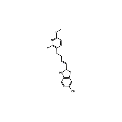 CNc1ccc(CC/C=C/C2Nc3ccc(O)cc3S2)c(F)n1